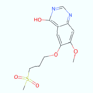 COc1cc2ncnc(O)c2cc1OCCCS(C)(=O)=O